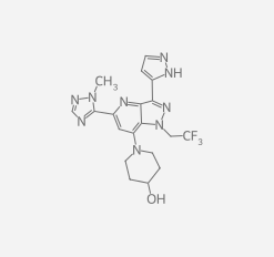 Cn1ncnc1-c1cc(N2CCC(O)CC2)c2c(n1)c(-c1ccn[nH]1)nn2CC(F)(F)F